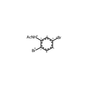 CC(=O)Nc1cc(Br)ccc1Br